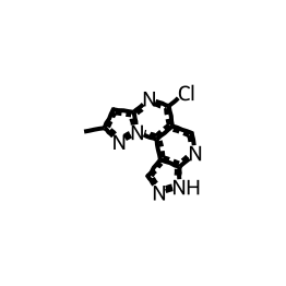 Cc1cc2nc(Cl)c3cnc4[nH]ncc4c3n2n1